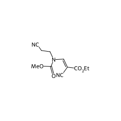 CCOC(=O)/C(C#N)=C/N(CCC#N)C(=O)OC